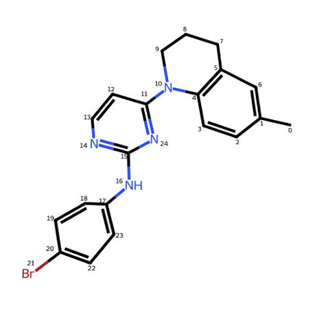 Cc1ccc2c(c1)CCCN2c1ccnc(Nc2ccc(Br)cc2)n1